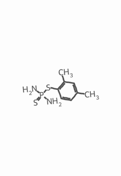 Cc1ccc(SP(N)(N)=S)c(C)c1